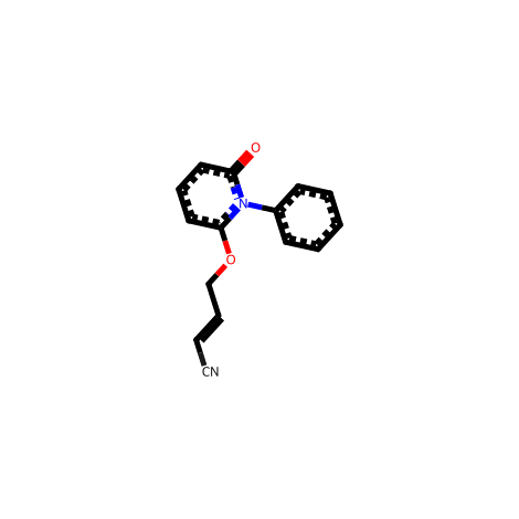 N#CC=CCOc1cccc(=O)n1-c1ccccc1